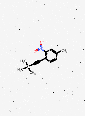 Cc1ccc(C#C[Si](C)(C)C)c([N+](=O)[O-])c1